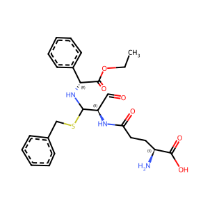 CCOC(=O)[C@H](NC(SCc1ccccc1)[C@@H](C=O)NC(=O)CC[C@H](N)C(=O)O)c1ccccc1